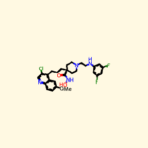 COc1ccc2ncc(Cl)c(CCCC3(C(=O)NO)CCN(CCNc4cc(F)cc(F)c4)CC3)c2c1